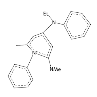 CCN(c1ccccc1)c1cc(C)[n+](-c2ccccc2)c(NC)c1